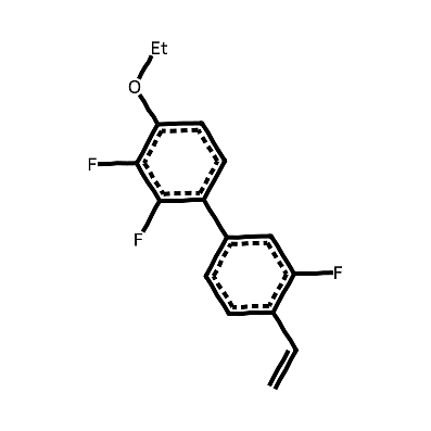 C=Cc1ccc(-c2ccc(OCC)c(F)c2F)cc1F